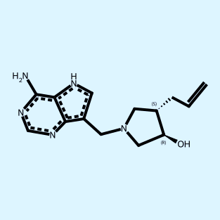 C=CC[C@H]1CN(Cc2c[nH]c3c(N)ncnc23)C[C@@H]1O